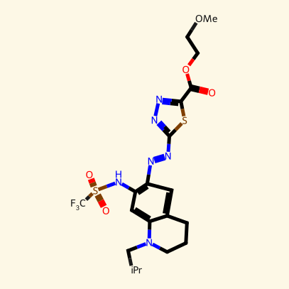 COCCOC(=O)c1nnc(N=Nc2cc3c(cc2NS(=O)(=O)C(F)(F)F)N(CC(C)C)CCC3)s1